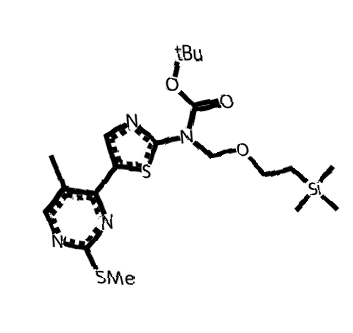 CSc1ncc(C)c(-c2cnc(N(COCC[Si](C)(C)C)C(=O)OC(C)(C)C)s2)n1